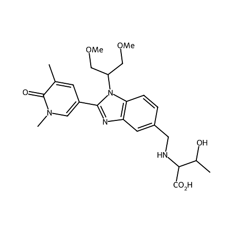 COCC(COC)n1c(-c2cc(C)c(=O)n(C)c2)nc2cc(CNC(C(=O)O)C(C)O)ccc21